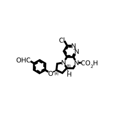 O=Cc1ccc(O[C@@H]2C[C@@H]3CN(C(=O)O)c4nnc(Cl)cc4N3C2)cc1